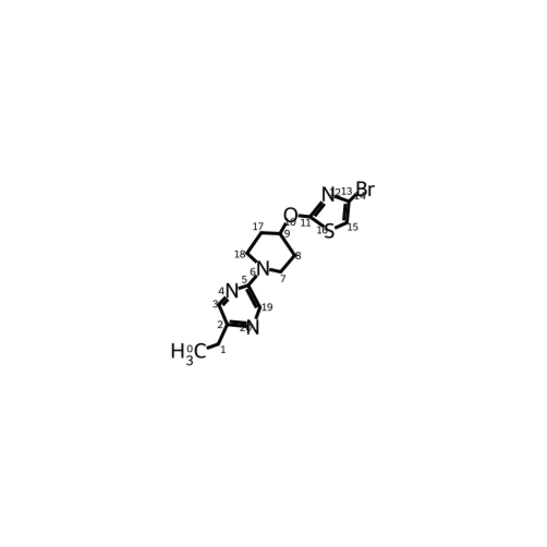 CCc1cnc(N2CCC(Oc3nc(Br)cs3)CC2)cn1